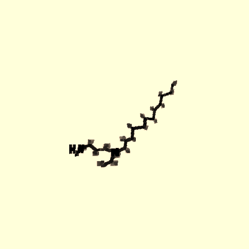 CCCCCCCCCCCCN(CC)CCCN